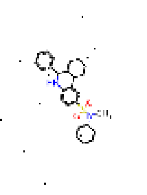 CN(C1CCCCC1)S(=O)(=O)c1ccc2c(c1)C1CCCCC1C(c1ccccc1)N2